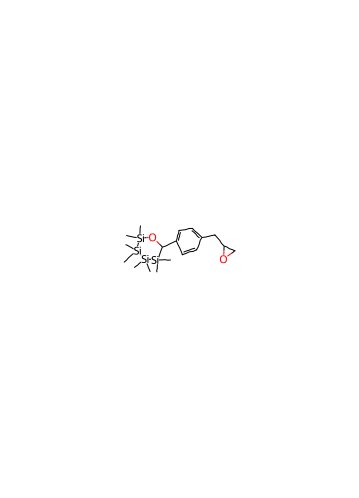 C[Si]1(C)OC(c2ccc(CC3CO3)cc2)[Si](C)(C)[Si](C)(C)[Si]1(C)C